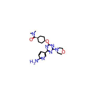 CN(C)C(=O)[C@H]1CC[C@H](Oc2nc(-c3ccc(N)nc3)nc(N3CCOCC3)n2)CC1